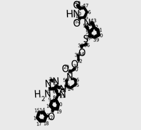 Nc1ncnc2c1c(-c1ccc(Oc3ccccc3)cc1)nn2[C@@H]1CCCN(C(=O)COCCOCCSc2cccc3cn(C4CCC(=O)NC4=O)cc23)C1